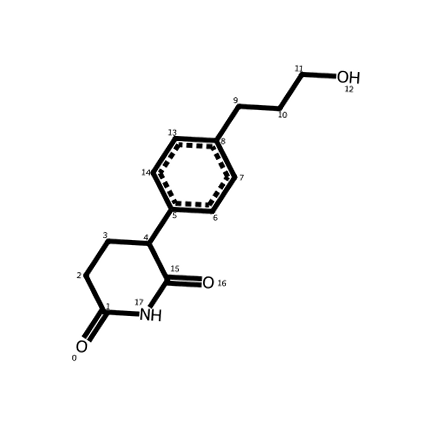 O=C1CCC(c2ccc(CCCO)cc2)C(=O)N1